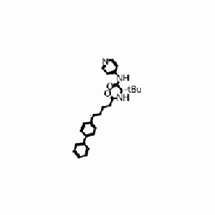 CC(C)(C)[C@H](NC(=O)CCC[CH]c1ccc(-c2ccccc2)cc1)C(=O)Nc1ccncc1